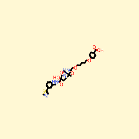 CC(C)(C)[C@](C=O)(NC(=O)COCCCCCOc1ccc(C(=O)O)cc1)N1CC[C@](O)(C(=O)NCc2cccc(-c3cncs3)c2)C1